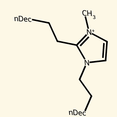 CCCCCCCCCCCCc1n(CCCCCCCCCCCC)cc[n+]1C